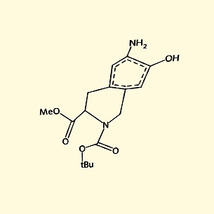 COC(=O)C1Cc2cc(N)c(O)cc2CN1C(=O)OC(C)(C)C